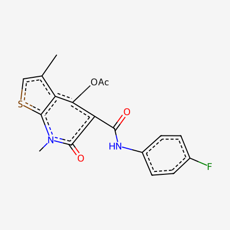 CC(=O)Oc1c(C(=O)Nc2ccc(F)cc2)c(=O)n(C)c2scc(C)c12